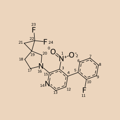 O=[N+]([O-])c1c(-c2ccccc2F)ccnc1N1CCC2(C1)CC2(F)F